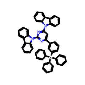 c1ccc([Si](c2ccccc2)(c2ccccc2)c2cccc(-c3cc(-n4c5ccccc5c5ccccc54)nc(-n4c5ccccc5c5ccccc54)n3)c2)cc1